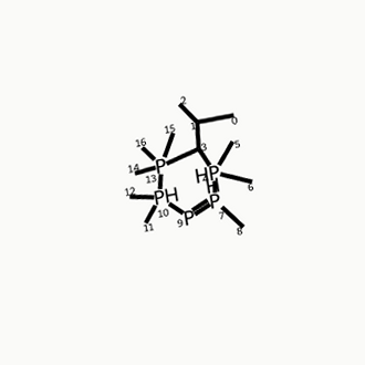 CC(C)C1[PH](C)(C)[PH](C)=P[PH](C)(C)P1(C)(C)C